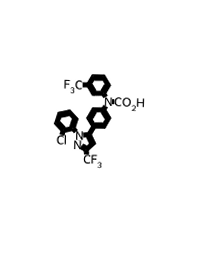 O=C(O)N(c1ccc(-c2cc(C(F)(F)F)nn2-c2ccccc2Cl)cc1)c1cccc(C(F)(F)F)c1